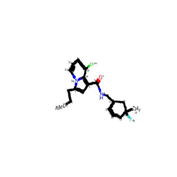 COCCc1cc(C(=O)NCC2CCCC(C)(F)C2)c2c(Cl)cccn12